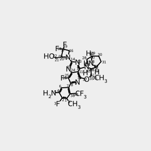 Cc1c(F)c(N)cc(-c2nc3c4c(nc(N5CC(F)(F)[C@@H]5CO)nc4c2F)N2C[C@H]4CC[C@H](N4)[C@H]2[C@H](C)O3)c1C(F)(F)F